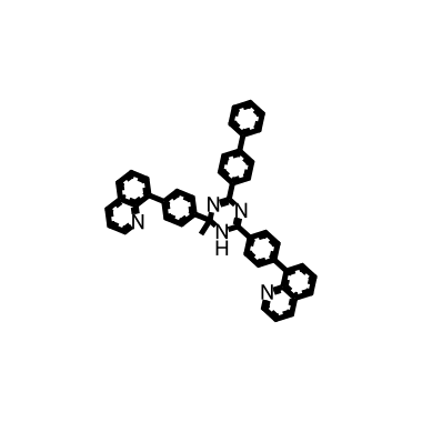 CC1(c2ccc(-c3cccc4cccnc34)cc2)N=C(c2ccc(-c3ccccc3)cc2)N=C(c2ccc(-c3cccc4cccnc34)cc2)N1